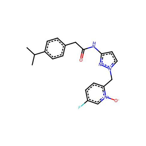 CC(C)c1ccc(CC(=O)Nc2ccn(Cc3ccc(F)c[n+]3[O-])n2)cc1